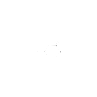 N=C1CC(=O)NCS1